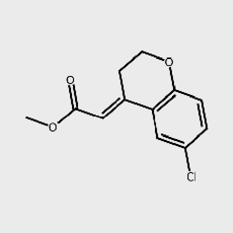 COC(=O)C=C1CCOc2ccc(Cl)cc21